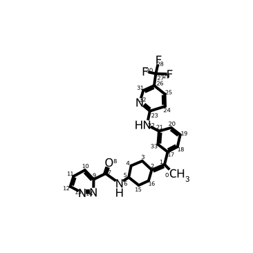 CC(=C1CCC(NC(=O)c2cccnn2)CC1)c1cccc(Nc2ccc(C(F)(F)F)cn2)c1